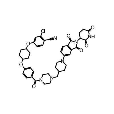 N#Cc1ccc(OC2CCC(Oc3ccc(C(=O)N4CCN(CC5CCN(c6ccc7c(c6)C(=O)N(C6CCC(=O)NC6=O)C7=O)CC5)CC4)cc3)CC2)cc1Cl